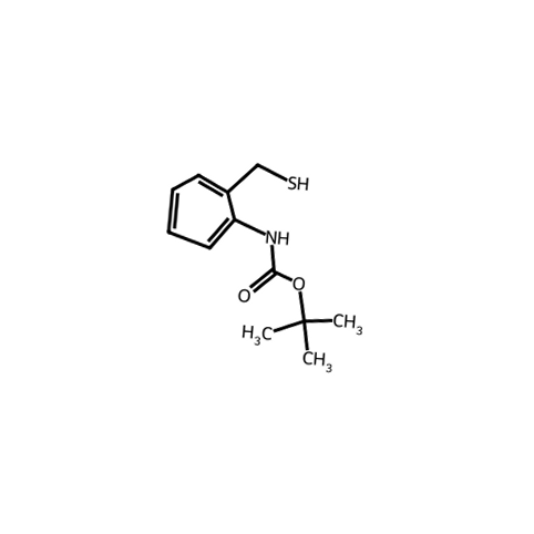 CC(C)(C)OC(=O)Nc1ccccc1CS